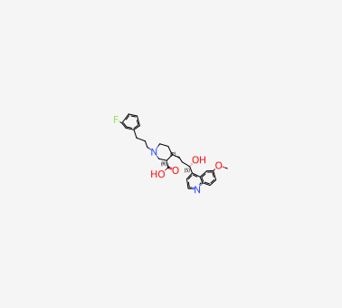 COc1ccc2nccc([C@@H](O)CC[C@@H]3CCN(CCCc4cccc(F)c4)C[C@@H]3C(=O)O)c2c1